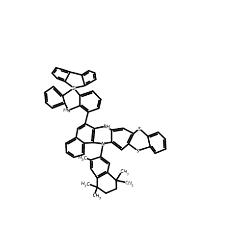 Cc1cc2c(cc1N1c3cc4c(cc3Bc3c(-c5cccc6c5Nc5ccccc5[Si]65c6ccccc6-c6ccccc65)cc5ccccc5c31)Sc1ccccc1S4)C(C)(C)CCC2(C)C